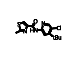 Cc1nc(C(=O)Nc2cc(C(C)(C)C)c(Cl)cn2)cs1